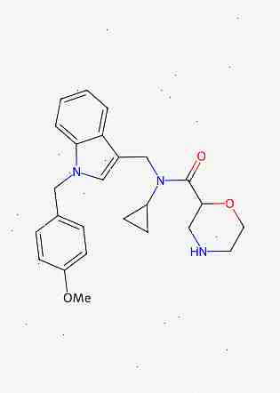 COc1ccc(Cn2cc(CN(C(=O)C3CNCCO3)C3CC3)c3ccccc32)cc1